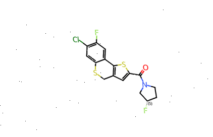 O=C(c1cc2c(s1)-c1cc(F)c(Cl)cc1SC2)N1CC[C@H](F)C1